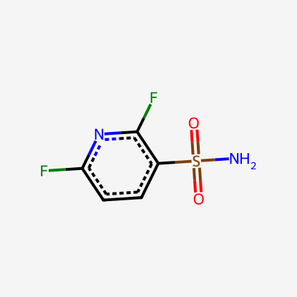 NS(=O)(=O)c1ccc(F)nc1F